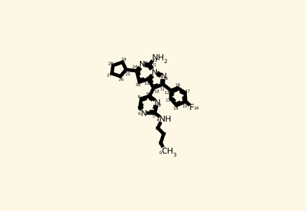 CCCCNc1nccc(-c2c(-c3ccc(F)cc3)nn3c(N)nc(C4CCCC4)cc23)n1